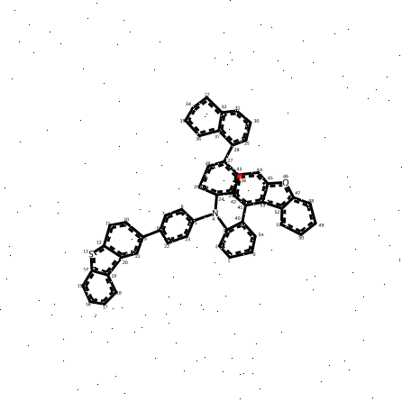 c1ccc(N(c2ccc(-c3ccc4sc5ccccc5c4c3)cc2)c2ccc(-c3cccc4ccccc34)cc2)c(-c2cccc3oc4ccccc4c23)c1